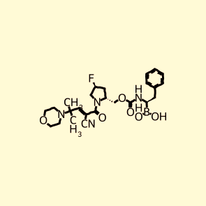 CC(C)(C=C(C#N)C(=O)N1C[C@@H](F)C[C@@H]1COC(=O)N[C@@H](Cc1ccccc1)B(O)O)N1CCOCC1